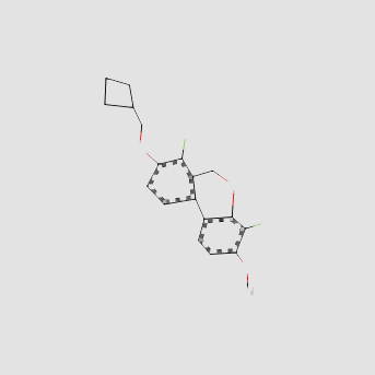 CCCCOc1ccc2c(c1F)OCc1c-2ccc(OCC2CCC2)c1F